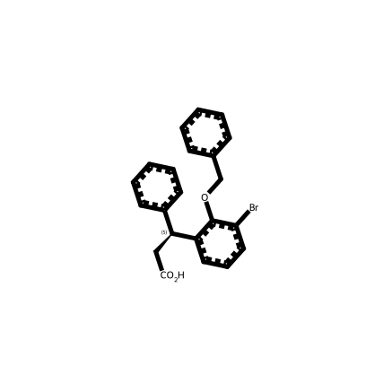 O=C(O)C[C@@H](c1ccccc1)c1cccc(Br)c1OCc1ccccc1